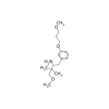 COCCCOc1cccc(CC(N)C(C)(C)COC)c1